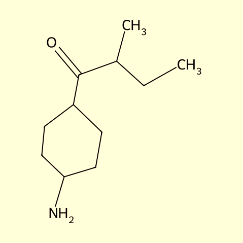 CCC(C)C(=O)C1CCC(N)CC1